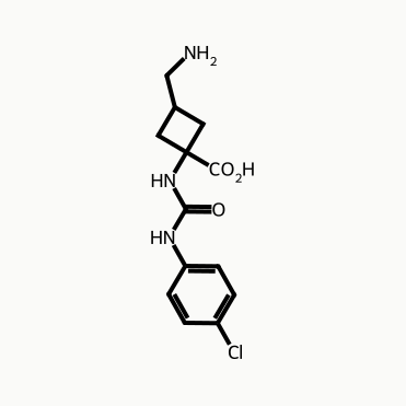 NCC1CC(NC(=O)Nc2ccc(Cl)cc2)(C(=O)O)C1